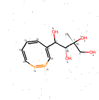 C[C@](O)(CO)[C@H](O)C(O)C1=CP=PC=CC=C1